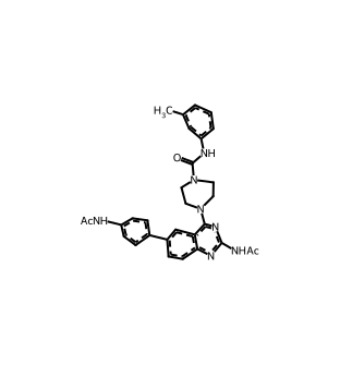 CC(=O)Nc1ccc(-c2ccc3nc(NC(C)=O)nc(N4CCN(C(=O)Nc5cccc(C)c5)CC4)c3c2)cc1